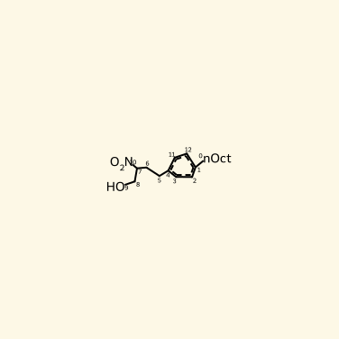 CCCCCCCCc1ccc(CCC(CO)[N+](=O)[O-])cc1